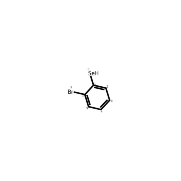 [SeH]c1ccccc1Br